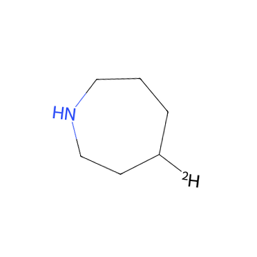 [2H]C1CCCNCC1